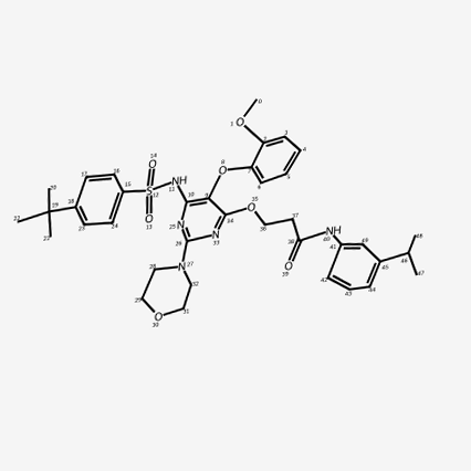 COc1ccccc1Oc1c(NS(=O)(=O)c2ccc(C(C)(C)C)cc2)nc(N2CCOCC2)nc1OCCC(=O)Nc1cccc(C(C)C)c1